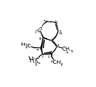 Cc1c(C)c(C)c2c(c1C)C=CCO2